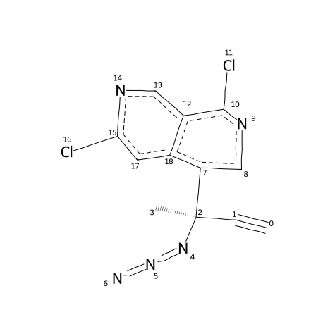 C#C[C@@](C)(N=[N+]=[N-])c1cnc(Cl)c2cnc(Cl)cc12